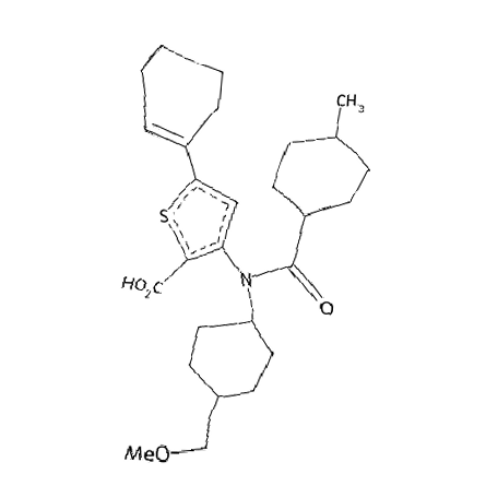 COCC1CCC(N(C(=O)C2CCC(C)CC2)c2cc(C3=CCCCC3)sc2C(=O)O)CC1